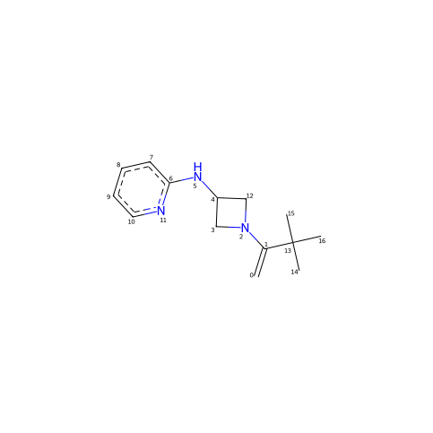 C=C(N1CC(Nc2ccccn2)C1)C(C)(C)C